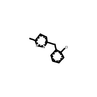 Cc1ccc(Cc2ccccc2Cl)nn1